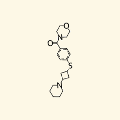 O=C(c1ccc(SC2CC(N3CCCCC3)C2)cc1)N1CCOCC1